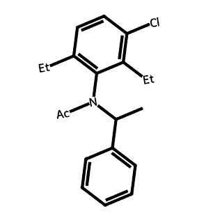 CCc1ccc(Cl)c(CC)c1N(C(C)=O)C(C)c1ccccc1